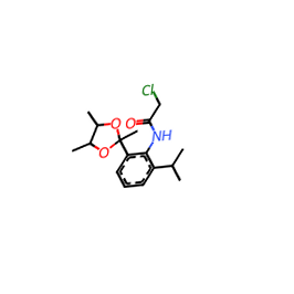 CC(C)c1cccc(C2(C)OC(C)C(C)O2)c1NC(=O)CCl